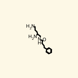 NCCCC(N)CNC(=O)CCCc1ccccc1